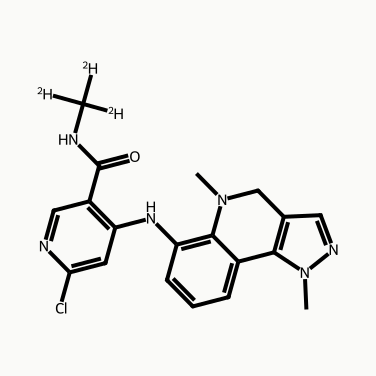 [2H]C([2H])([2H])NC(=O)c1cnc(Cl)cc1Nc1cccc2c1N(C)Cc1cnn(C)c1-2